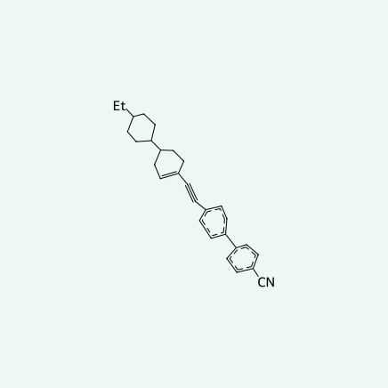 CCC1CCC(C2CC=C(C#Cc3ccc(-c4ccc(C#N)cc4)cc3)CC2)CC1